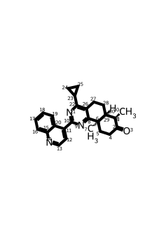 C[C@H]1C(=O)CC[C@@]2(C)c3nc(-c4ccnc5ccccc45)nc(C4CC4)c3CC[C@H]12